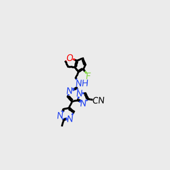 Cc1ncc(-c2cnc(NCc3c(F)ccc4c3CCO4)n3cc(C#N)nc23)cn1